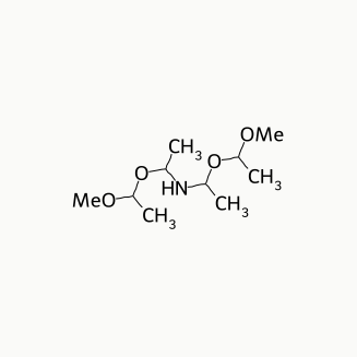 COC(C)OC(C)NC(C)OC(C)OC